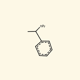 CCCC(C)c1ccccc1